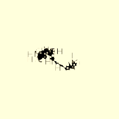 COc1cc(N2CCC(NCCCCCCCNc3ccc4c(c3)CN(C3CCC(=O)NC3=O)C4=O)CC2)ccc1Nc1ncc(Cl)c(Nc2ccccc2P(=O)(OC)OC)n1